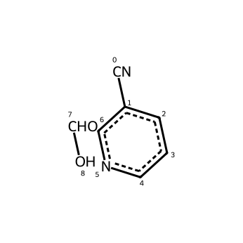 N#Cc1cccnc1.O=CO